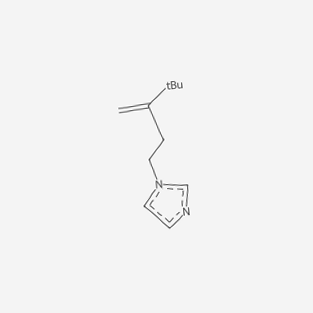 C=C(CCn1ccnc1)C(C)(C)C